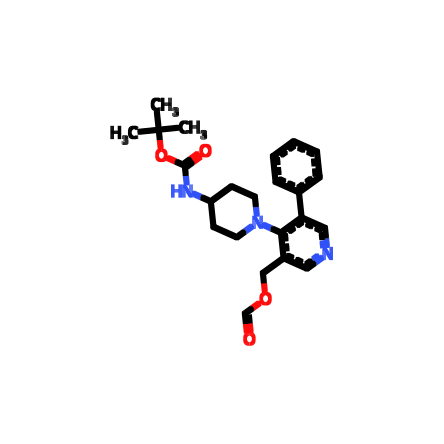 CC(C)(C)OC(=O)NC1CCN(c2c(COC=O)cncc2-c2ccccc2)CC1